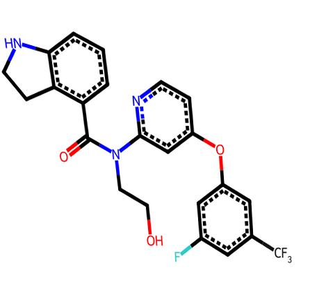 O=C(c1cccc2c1CCN2)N(CCO)c1cc(Oc2cc(F)cc(C(F)(F)F)c2)ccn1